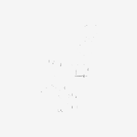 CN(CCN(C)C(=O)OC(C)(C)C)Cc1c[nH]nc1C1=CCC2(CCCOC2)CC1